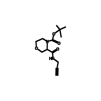 C#CCNC(=O)C1COCCN1C(=O)OC(C)(C)C